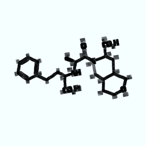 CCOC(=O)C(CCc1ccccc1)N[C@@H](C)C(=O)N1CC2CCOCC2CC1C(=O)O